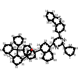 c1ccc(-c2nc(-c3ccc4sc5ccccc5c4c3)cc(-c3ccc(-c4ccc(-c5cccc6c5C(c5ccccc5)(c5ccccc5)c5ccccc5-6)cc4)c4ccccc34)n2)cc1